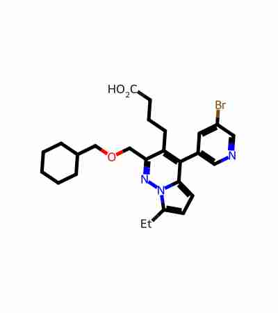 CCc1ccc2c(-c3cncc(Br)c3)c(CCCC(=O)O)c(COCC3CCCCC3)nn12